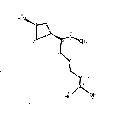 CNC(CCCCB(O)O)[C@H]1C[C@@H](N)C1